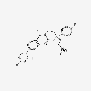 CNCC[C@]1(c2ccc(F)cc2)CCN([C@@H](C)c2ccc(-c3ccc(F)cc3F)cc2)C(=O)C1